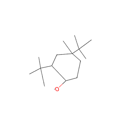 CC(C)(C)C1CC(C)(C(C)(C)C)CCC1[O]